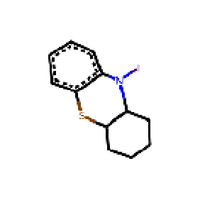 IN1c2ccccc2SC2CCCCC21